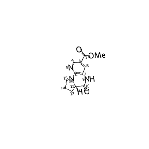 COC(=O)c1cnc2c(c1)NC(=O)[C@@H]1CCCN21